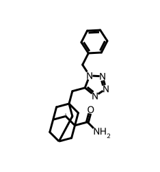 NC(=O)C12[CH]C3CC(CC(Cc4nnnn4Cc4ccccc4)(C3)C1)C2